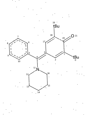 CC(C)(C)C1=CC(=C(c2ccccc2)N2CCCCC2)C=C(C(C)(C)C)C1=O